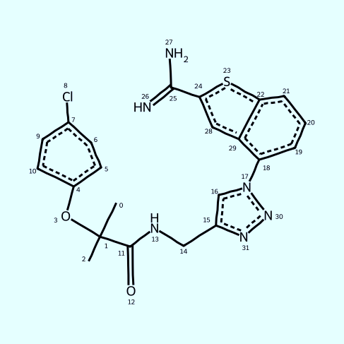 CC(C)(Oc1ccc(Cl)cc1)C(=O)NCc1cn(-c2cccc3sc(C(=N)N)cc23)nn1